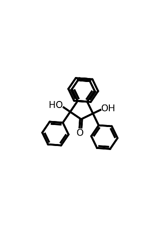 O=C(C(O)(c1ccccc1)c1ccccc1)C(O)(c1ccccc1)c1ccccc1